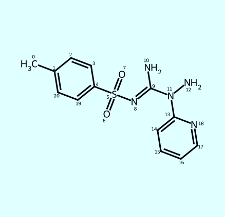 Cc1ccc(S(=O)(=O)/N=C(\N)N(N)c2ccccn2)cc1